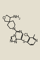 Cc1nccc(Sc2cnc(N3CCC4(CC3)COCC4N)n3cnnc23)c1Cl